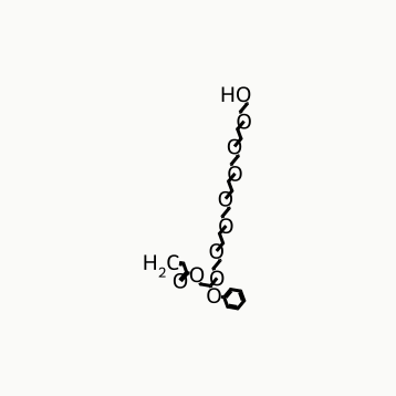 C=CC(=O)OCC(OCCOCCOCCOCCOCCOCCOCCO)Oc1ccccc1